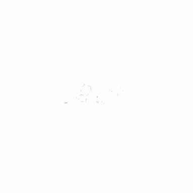 C=CCn1cc2c3c(cccc31)[C@H]1C[C@H](NC(=O)N(CC)CC)CN(C)[C@@H]1C2